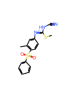 CS/C(=N\c1ccc(S(=O)(=O)c2ccccc2)c(C)c1)NC#N